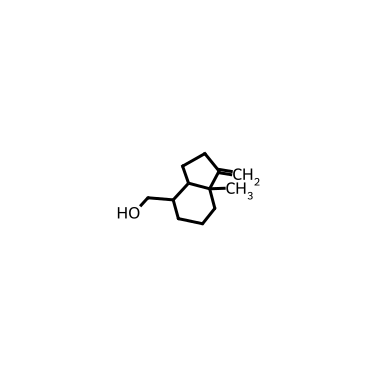 C=C1CCC2C(CO)CCCC12C